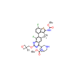 CCC1(COc2nc(C34CCC(CNC3)N4C(=O)OC(C)(C)C)c3cc(C(F)(F)F)c(-c4ccc(F)c5sc(NC(=O)OC(C)(C)C)c(C#N)c45)c(F)c3n2)COC1